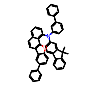 CC1(C)c2ccccc2-c2ccc(N(c3cccc(-c4ccccc4)c3)c3cccc4ccc5c6cc(-c7ccccc7)ccc6oc5c34)cc21